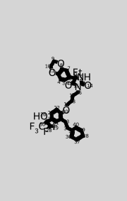 CCC1(c2ccc3c(c2)OCCO3)NC(=O)N(CCCCOc2ccc(C(O)(C(F)F)C(F)(F)F)cc2CCc2ccccc2)C1=O